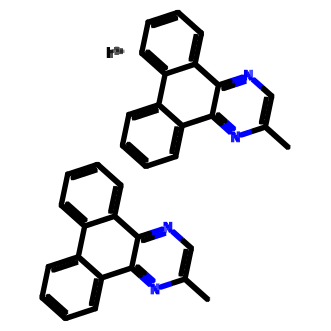 Cc1cnc2c3ccccc3c3ccccc3c2n1.Cc1cnc2c3ccccc3c3ccccc3c2n1.[Ir+3]